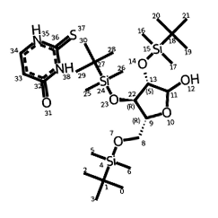 CC(C)(C)[Si](C)(C)OC[C@H]1OC(O)[C@@H](O[Si](C)(C)C(C)(C)C)[C@@H]1O[Si](C)(C)C(C)(C)C.O=c1cc[nH]c(=S)[nH]1